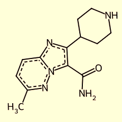 Cc1ccc2nc(C3CCNCC3)c(C(N)=O)n2n1